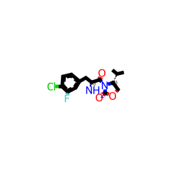 CC(C)[C@@H]1COC(=O)N1C(=O)[C@H](N)Cc1ccc(Cl)c(F)c1